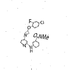 CNC(=O)c1cccc(Nc2cc(N3CC(Oc4ccc(Cl)cc4F)C3)ccn2)c1